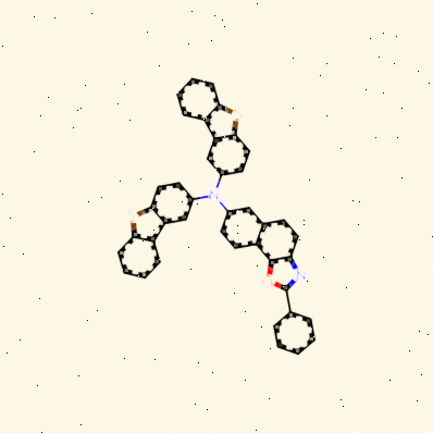 c1ccc(-c2nc3ccc4cc(N(c5ccc6sc7ccccc7c6c5)c5ccc6sc7ccccc7c6c5)ccc4c3o2)cc1